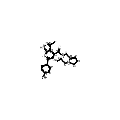 Cc1n[nH]c2nc(-c3ccc(O)cc3)cc(C(=O)N3CC4=CCCN4CC3C)c12